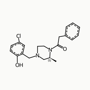 C[C@H]1CN(Cc2cc(Cl)ccc2O)CCN1C(=O)Cc1ccccc1